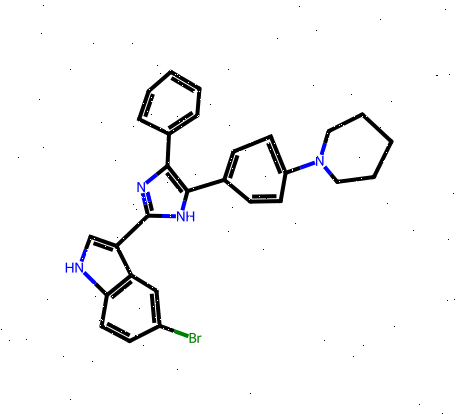 Brc1ccc2[nH]cc(-c3nc(-c4ccccc4)c(-c4ccc(N5CCCCC5)cc4)[nH]3)c2c1